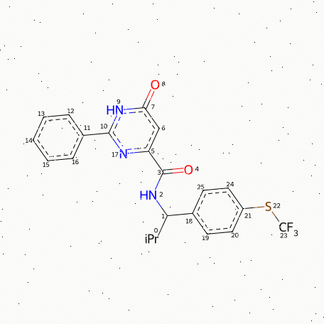 CC(C)C(NC(=O)c1cc(=O)[nH]c(-c2ccccc2)n1)c1ccc(SC(F)(F)F)cc1